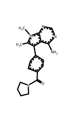 Cc1c(-c2ccc(C(=O)N3CCCC3)cc2)c2c(N)ncnc2n1C